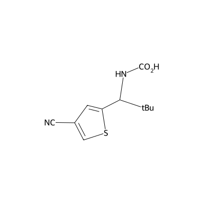 CC(C)(C)C(NC(=O)O)c1cc(C#N)cs1